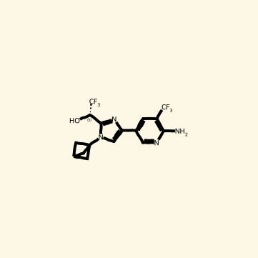 Nc1ncc(-c2cn(C34CC(C3)C4)c([C@H](O)C(F)(F)F)n2)cc1C(F)(F)F